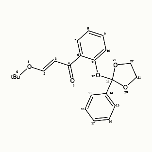 CC(C)(C)OC=CC(=O)c1ccccc1OC1(c2ccccc2)OCCO1